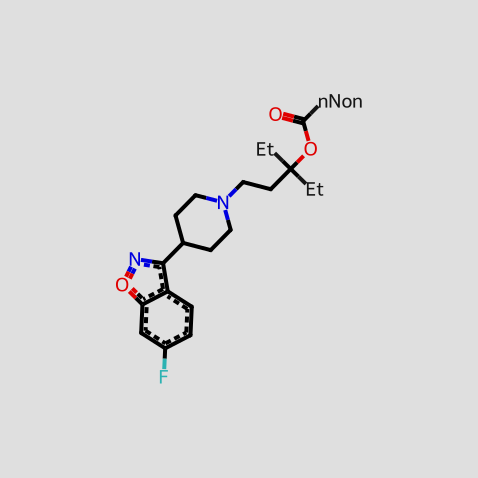 CCCCCCCCCC(=O)OC(CC)(CC)CCN1CCC(c2noc3cc(F)ccc23)CC1